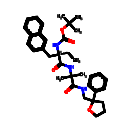 CC[C@](Cc1ccc2ccccc2c1)(NC(=O)OC(C)(C)C)C(=O)NC(C)(C)C(=O)NCC1(c2ccccc2)CCCO1